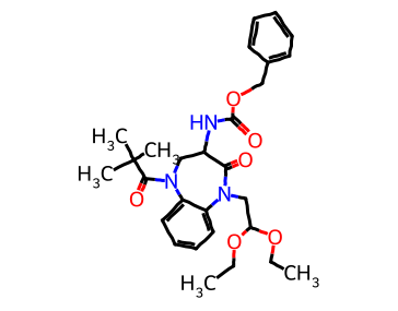 CCOC(CN1C(=O)C(NC(=O)OCc2ccccc2)CN(C(=O)C(C)(C)C)c2ccccc21)OCC